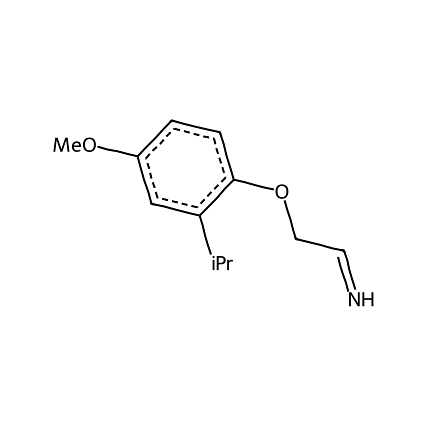 COc1ccc(OCC=N)c(C(C)C)c1